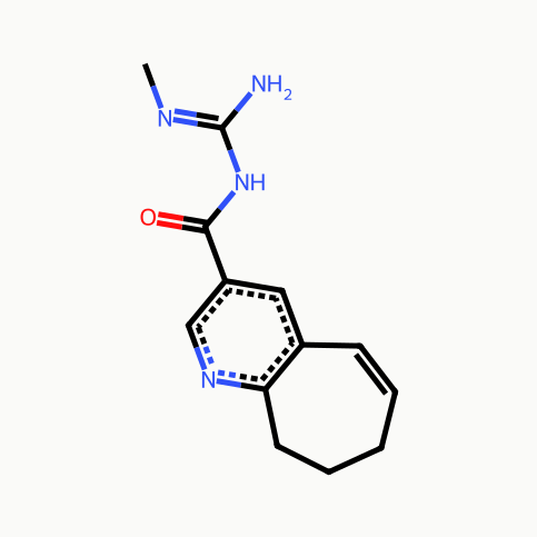 CN=C(N)NC(=O)c1cnc2c(c1)C=CCCC2